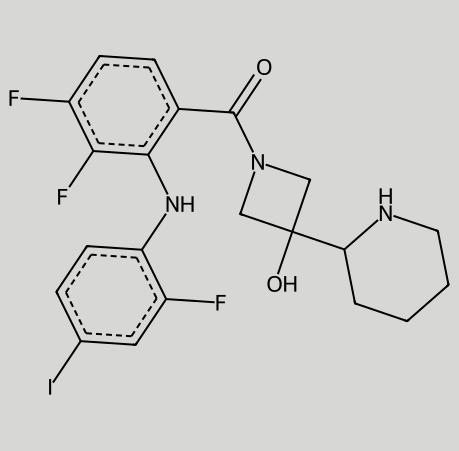 O=C(c1ccc(F)c(F)c1Nc1ccc(I)cc1F)N1CC(O)(C2CCCCN2)C1